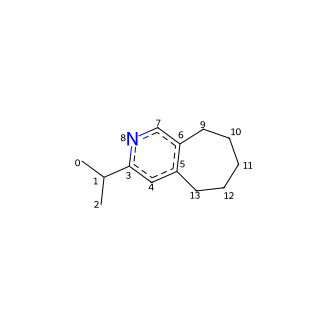 CC(C)c1cc2c(cn1)CCCCC2